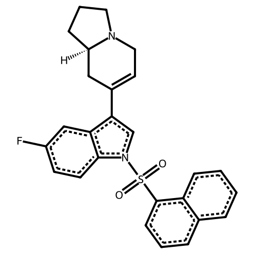 O=S(=O)(c1cccc2ccccc12)n1cc(C2=CCN3CCC[C@@H]3C2)c2cc(F)ccc21